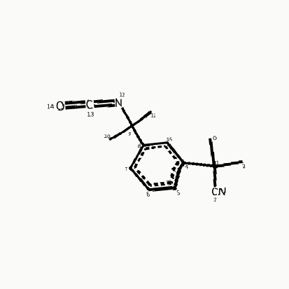 CC(C)(C#N)c1cccc(C(C)(C)N=C=O)c1